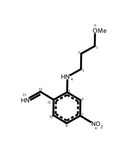 COCCCNc1cc([N+](=O)[O-])ccc1C=N